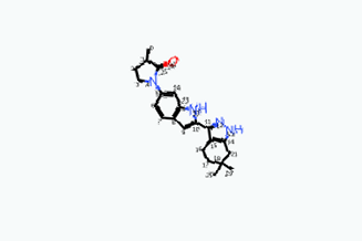 CC1CCN(c2ccc3cc(-c4n[nH]c5c4CCC(C)(C)C5)[nH]c3c2)C1=O